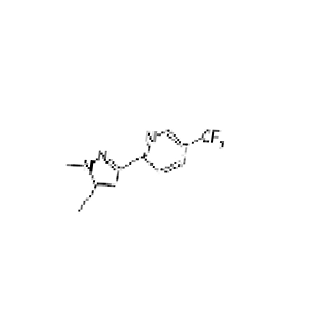 Cc1cc(-c2ccc(C(F)(F)F)cn2)nn1C